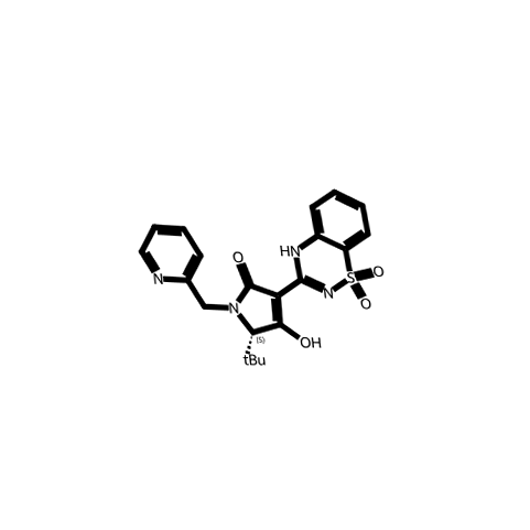 CC(C)(C)[C@H]1C(O)=C(C2=NS(=O)(=O)c3ccccc3N2)C(=O)N1Cc1ccccn1